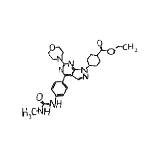 CCOC(=O)C1CCC(n2ncc3c(-c4ccc(NC(=O)NC)cc4)nc(N4CCOCC4)nc32)CC1